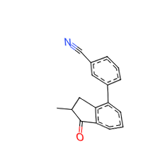 CC1Cc2c(cccc2-c2cccc(C#N)c2)C1=O